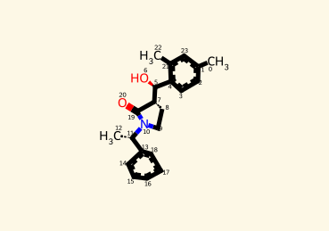 Cc1ccc([C@H](O)[C@@H]2CCN([C@@H](C)c3ccccc3)C2=O)c(C)c1